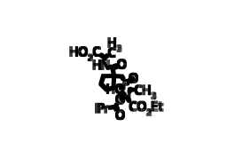 CCOC(=O)N(OC(=O)C(C)C)C(C)P(=O)(O)CC1(C(=O)NC(C)C(=O)O)CCCC1